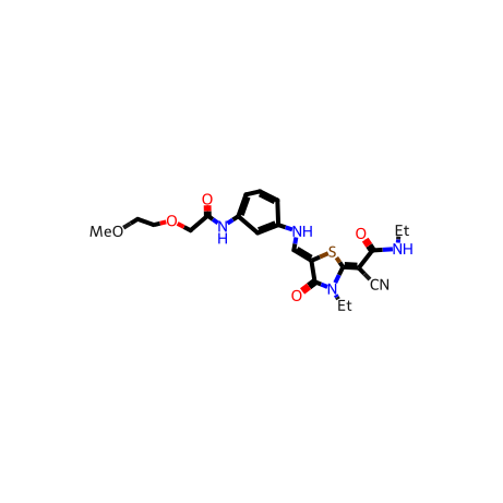 CCNC(=O)C(C#N)=c1sc(=CNc2cccc(NC(=O)COCCOC)c2)c(=O)n1CC